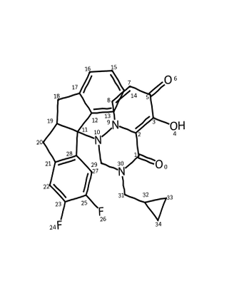 O=C1c2c(O)c(=O)ccn2N(C23c4ccccc4CC2Cc2cc(F)c(F)cc23)CN1CC1CC1